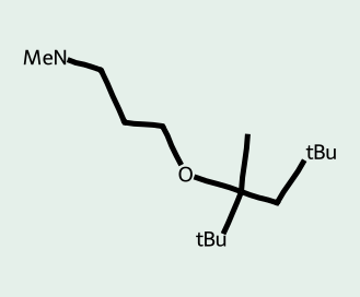 CNCCCOC(C)(CC(C)(C)C)C(C)(C)C